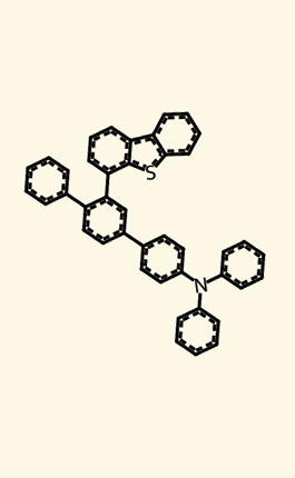 c1ccc(-c2ccc(-c3ccc(N(c4ccccc4)c4ccccc4)cc3)cc2-c2cccc3c2sc2ccccc23)cc1